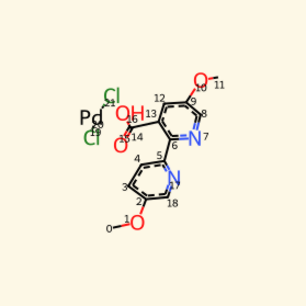 COc1ccc(-c2ncc(OC)cc2C(=O)O)nc1.[Cl][Pd][Cl]